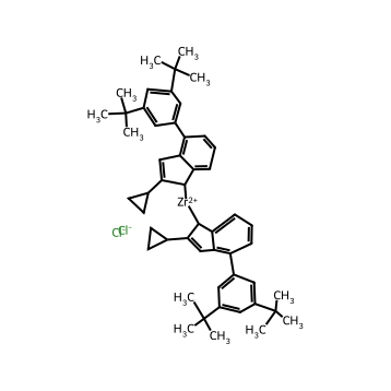 CC(C)(C)c1cc(-c2cccc3c2C=C(C2CC2)[CH]3[Zr+2][CH]2C(C3CC3)=Cc3c(-c4cc(C(C)(C)C)cc(C(C)(C)C)c4)cccc32)cc(C(C)(C)C)c1.[Cl-].[Cl-]